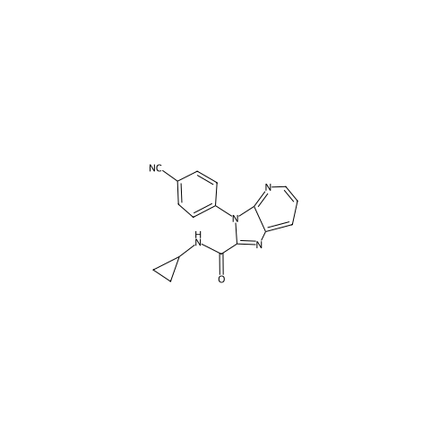 N#Cc1ccc(-n2c(C(=O)NC3CC3)nc3cccnc32)cc1